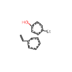 C=Cc1ccccc1.CCc1ccc(O)cc1